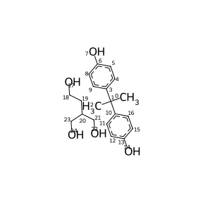 CC(C)(c1ccc(O)cc1)c1ccc(O)cc1.OCCC(CO)CO